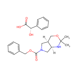 CC1(C)N[C@H]2CN(C(=O)OCc3ccccc3)C[C@H]2CO1.O=C(O)[C@@H](O)c1ccccc1